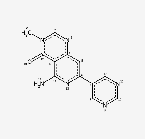 Cn1cnc2cc(-c3cncnc3)nc(N)c2c1=O